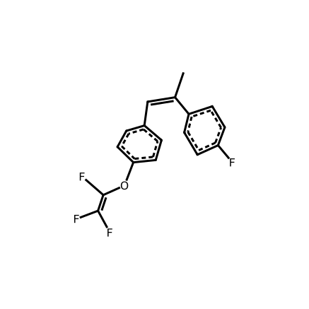 CC(=Cc1ccc(OC(F)=C(F)F)cc1)c1ccc(F)cc1